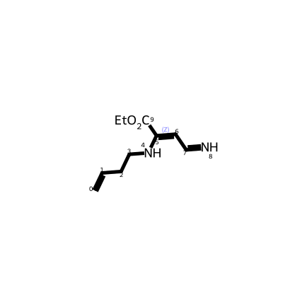 C=CCCN/C(=C\C=N)C(=O)OCC